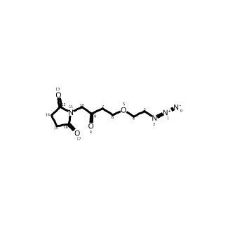 [N-]=[N+]=NCCOCCC(=O)CN1C(=O)CCC1=O